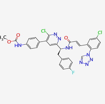 COC(=O)Nc1ccc(-c2cc([C@H](Cc3ccc(F)cc3)NC(=O)/C=C/c3cc(Cl)ccc3-n3cnnn3)nnc2Cl)cc1